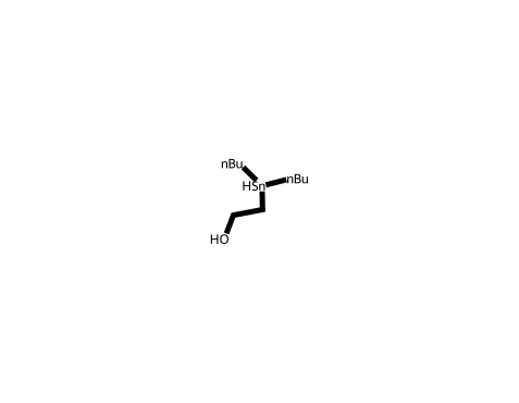 CCC[CH2][SnH]([CH2]CO)[CH2]CCC